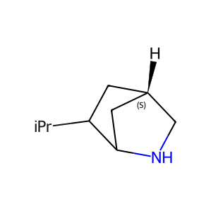 CC(C)C1C[C@@H]2CNC1C2